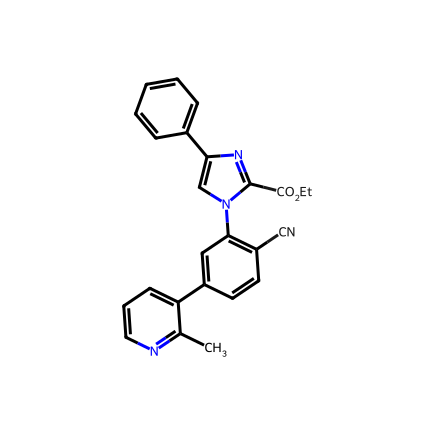 CCOC(=O)c1nc(-c2ccccc2)cn1-c1cc(-c2cccnc2C)ccc1C#N